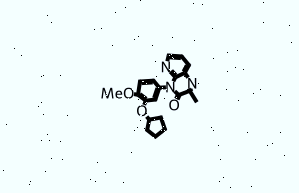 COc1ccc(-n2c(=O)c(C)nc3cccnc32)cc1OC1CCCC1